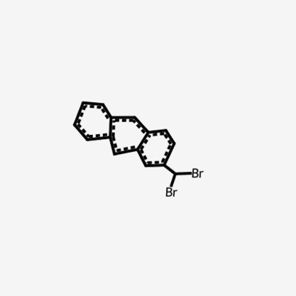 BrC(Br)c1ccc2cc3ccccc3cc2c1